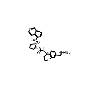 CC(C)(C)NCc1ccc2c(c1)OCC[C@H]2NC(=O)C[C@@H]1CCCN1S(=O)(=O)c1cccc2cnccc12